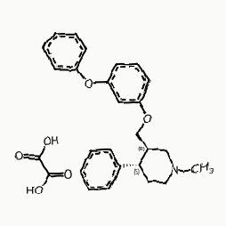 CN1CC[C@H](c2ccccc2)[C@@H](COc2cccc(Oc3ccccc3)c2)C1.O=C(O)C(=O)O